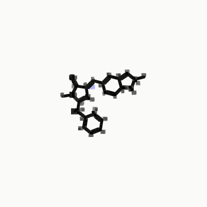 CN1C(=O)/C(=C/c2ccc3nn(C)cc3c2)N=C1Nc1ccccn1